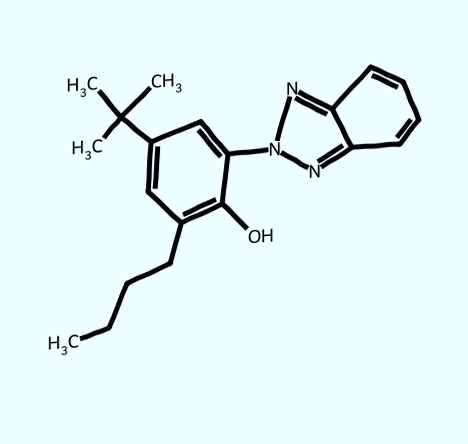 CCCCc1cc(C(C)(C)C)cc(-n2nc3ccccc3n2)c1O